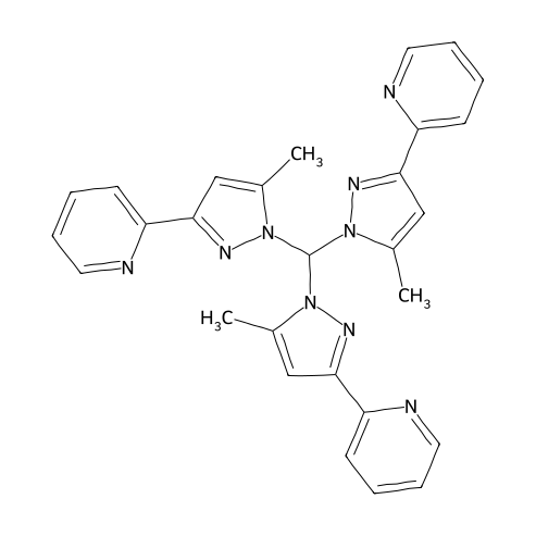 Cc1cc(-c2ccccn2)nn1C(n1nc(-c2ccccn2)cc1C)n1nc(-c2ccccn2)cc1C